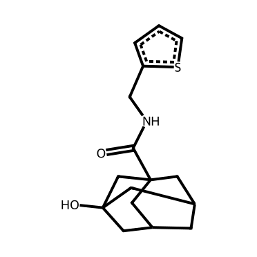 O=C(NCc1cccs1)C12CC3CC(CC(O)(C3)C1)C2